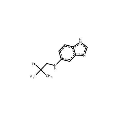 CCC(C)(C)CNc1ccc2[nH]cnc2c1